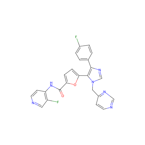 O=C(Nc1ccncc1F)c1ccc(-c2c(-c3ccc(F)cc3)ncn2Cc2ccncn2)o1